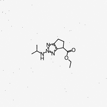 CCOC(=O)C1CCc2nn(NC(C)C)nc21